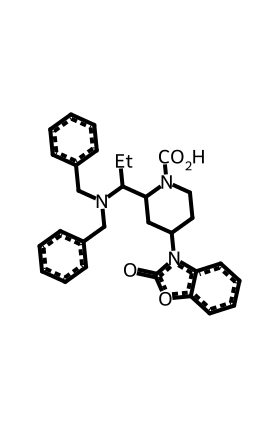 CCC(C1CC(n2c(=O)oc3ccccc32)CCN1C(=O)O)N(Cc1ccccc1)Cc1ccccc1